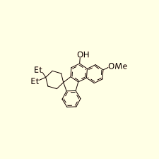 CCC1(CC)CCC2(CC1)c1ccccc1-c1c2cc(O)c2cc(OC)ccc12